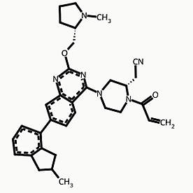 C=CC(=O)N1CCN(c2nc(OC[C@@H]3CCCN3C)nc3cc(-c4cccc5c4CC(C)C5)ccc23)C[C@@H]1CC#N